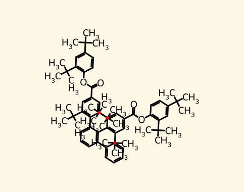 CC(C)(C)c1ccc(OC(=O)c2cc(C(C)(C)C)c(-c3cccc(-c4ccccc4)c3-c3c(C(C)(C)C)cc(C(=O)Oc4ccc(C(C)(C)C)cc4C(C)(C)C)cc3C(C)(C)C)c(C(C)(C)C)c2)c(C(C)(C)C)c1